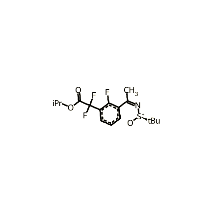 C/C(=N/[S@+]([O-])C(C)(C)C)c1cccc(C(F)(F)C(=O)OC(C)C)c1F